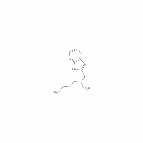 O=C(O)CCCC(Sc1nc2ccccc2[nH]1)C(=O)O